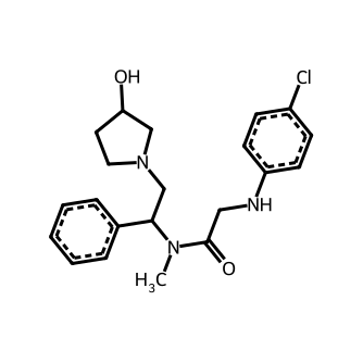 CN(C(=O)CNc1ccc(Cl)cc1)C(CN1CCC(O)C1)c1ccccc1